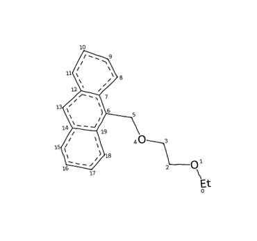 CCOCCOCc1c2ccccc2cc2ccccc12